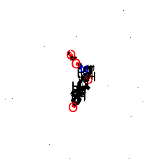 COCCOCCN1C[C@@H](C)C[C@H]2O[C@]3(CC[C@@H]4C(=C(C)C3)C[C@H]3[C@H]4CCC4=CC(=O)CC[C@@]43C)[C@H](C)[C@@H]21